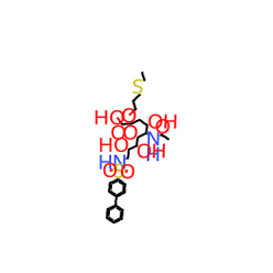 CCSCCCO[C@]1(C(=O)O)CC(O)[C@@H](NC(C)=O)C([C@H](O)[C@H](O)CNS(=O)(=O)c2ccc(-c3ccccc3)cc2)O1